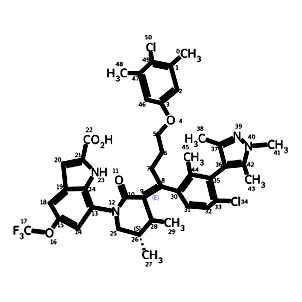 Cc1cc(OCCC/C(=C2\C(=O)N(c3cc(OC(F)(F)F)cc4cc(C(=O)O)[nH]c34)C[C@@H](C)C2C)c2ccc(Cl)c(-c3c(C)nn(C)c3C)c2C)cc(C)c1Cl